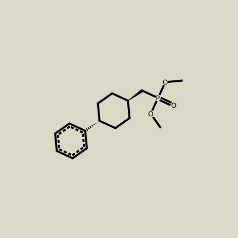 COP(=O)(C[C@H]1CC[C@H](c2ccccc2)CC1)OC